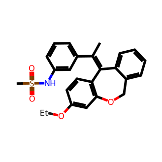 CCOc1ccc2c(c1)OCc1ccccc1/C2=C(\C)c1cccc(NS(C)(=O)=O)c1